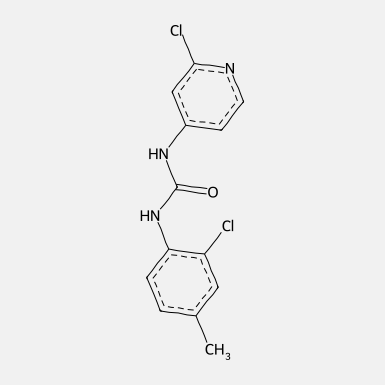 Cc1ccc(NC(=O)Nc2ccnc(Cl)c2)c(Cl)c1